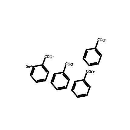 O=C([O-])c1ccccc1.O=C([O-])c1ccccc1.O=C([O-])c1ccccc1.O=C([O-])c1ccccc1.[Sn+4]